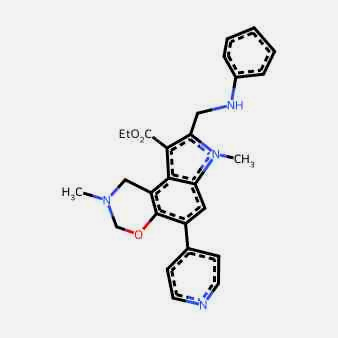 CCOC(=O)c1c(CNc2ccccc2)n(C)c2cc(-c3ccncc3)c3c(c12)CN(C)CO3